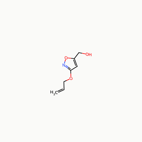 C=CCOc1cc(CO)on1